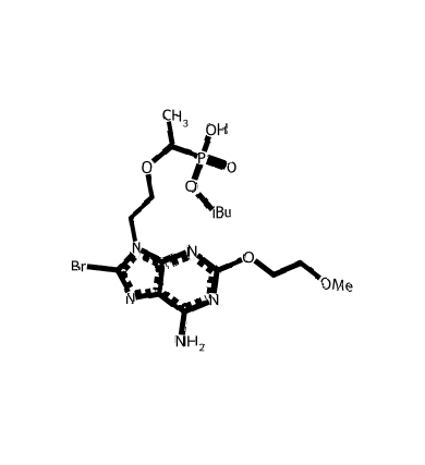 CCC(C)OP(=O)(O)C(C)OCCn1c(Br)nc2c(N)nc(OCCOC)nc21